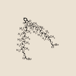 CCCCC(CC)COCCOC(C)OC(C)OC(C)OC(C)OC(C)OC(C)OC(C)OC(C)OC(C)OC(C)OC(=O)c1ccccc1C(=O)OC(C)OC(C)OC(C)OC(C)OC(C)OC(C)OC(C)OC(C)OC(C)OC(C)OCCOCC(CC)CCCC